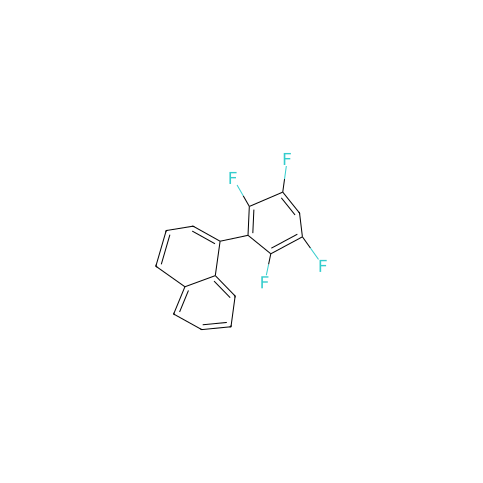 Fc1cc(F)c(F)c(-c2cccc3ccccc23)c1F